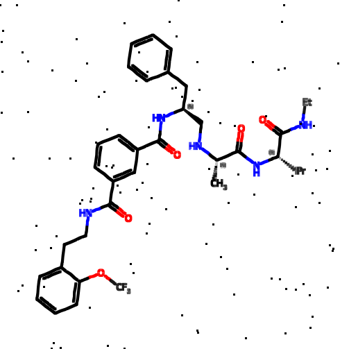 CCNC(=O)[C@@H](NC(=O)[C@H](C)NC[C@H](Cc1ccccc1)NC(=O)c1cccc(C(=O)NCCc2ccccc2OC(F)(F)F)c1)C(C)C